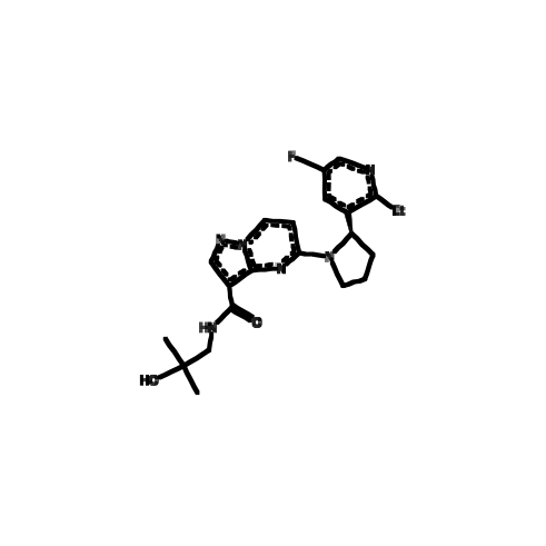 CCc1ncc(F)cc1[C@H]1CCCN1c1ccn2ncc(C(=O)NCC(C)(C)O)c2n1